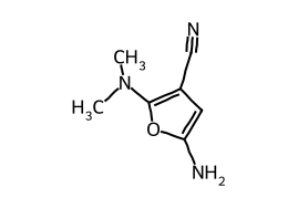 CN(C)c1oc(N)cc1C#N